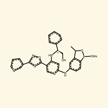 COB1OC(C)c2cc(Nc3cc(N[C@H](CO)c4ccccc4)c(-c4nc(-c5cccnc5)no4)cn3)ccc21